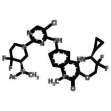 CC(=O)N(C)[C@@H]1CN(c2ncc(Cl)c(Nc3ccc4c(c3)c3c(c(=O)n4C)OCC(F)(F)[C@H](C4CC4)N3)n2)CCC1(F)F